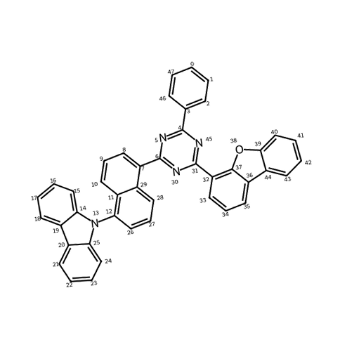 c1ccc(-c2nc(-c3cccc4c(-n5c6ccccc6c6ccccc65)cccc34)nc(-c3cccc4c3oc3ccccc34)n2)cc1